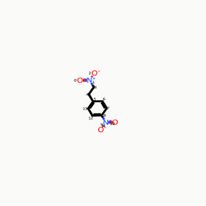 O=[N+]([O-])CCc1ccc([N+](=O)[O-])cc1